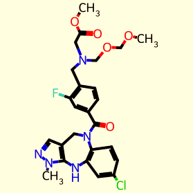 COCOCN(CC(=O)OC)Cc1ccc(C(=O)N2Cc3cnn(C)c3Nc3cc(Cl)ccc32)cc1F